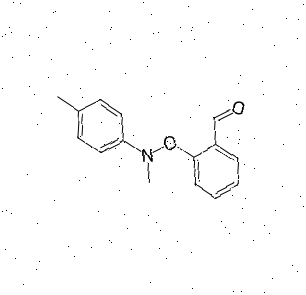 Cc1ccc(N(C)Oc2ccccc2C=O)cc1